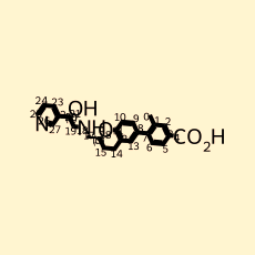 Cc1cc(C(=O)O)ccc1-c1ccc2c(c1)CC[C@@H](CNC[C@H](O)c1cccnc1)O2